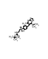 Cc1nc2ncnn2c(N(C)C)c1Cc1ccc(S(=N)(=O)CCNC(=O)OC(C)(C)C)cc1